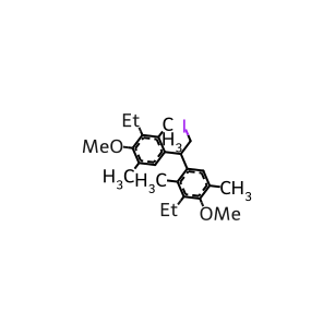 CCc1c(C)c(C(CI)c2cc(C)c(OC)c(CC)c2C)cc(C)c1OC